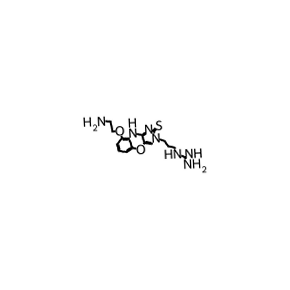 N=C(N)NCCCn1cc2c(nc1=S)Nc1c(OCCN)cccc1O2